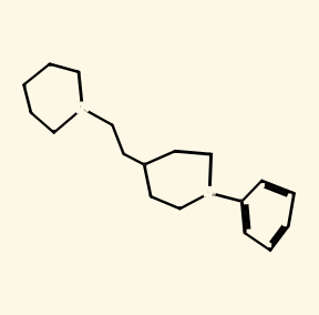 c1ccc(N2CCC(CCN3CCCCC3)CC2)cc1